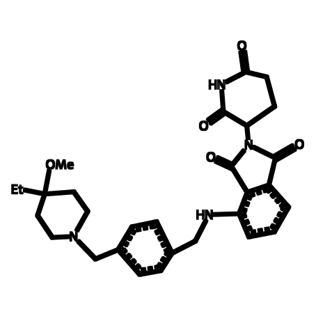 CCC1(OC)CCN(Cc2ccc(CNc3cccc4c3C(=O)N(C3CCC(=O)NC3=O)C4=O)cc2)CC1